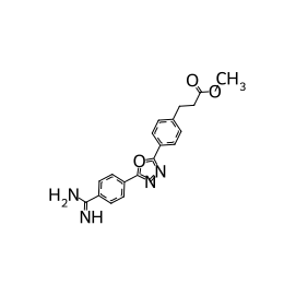 COC(=O)CCc1ccc(-c2nnc(-c3ccc(C(=N)N)cc3)o2)cc1